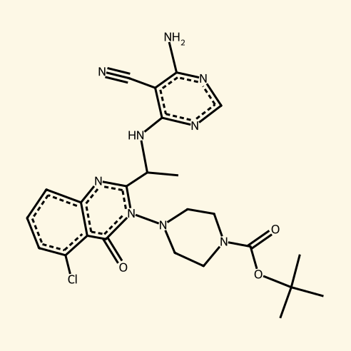 CC(Nc1ncnc(N)c1C#N)c1nc2cccc(Cl)c2c(=O)n1N1CCN(C(=O)OC(C)(C)C)CC1